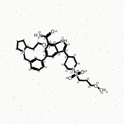 CCCC1CCCN1Cc1cccc(-c2cc(C(N)=O)c3[nH]cc(C4CCN(S(=O)(=O)CCCOC)CC4)c3c2)c1